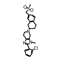 Cn1c(-c2ccccc2Cl)nc2c1CN(C1CCc3ccc(CS(C)(=O)=O)cc3C1)CC2